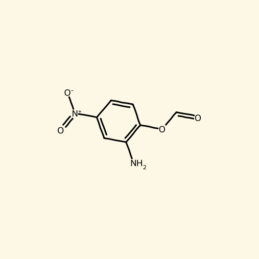 Nc1cc([N+](=O)[O-])ccc1OC=O